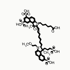 COCC[N+]1=C(/C=C/C=C/C=C/C=C2/N(CCCCCC(=O)O)c3ccc4c(S(=O)(=O)O)cc(S(=O)(=O)O)cc4c3C2(C)C)C(C)(CCCS(=O)(=O)O)c2c1ccc1ccc(S(=O)(=O)O)cc21